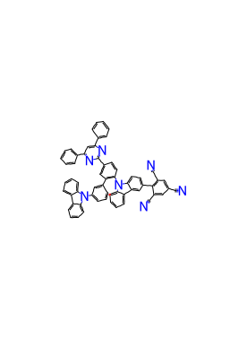 N#Cc1cc(C#N)c(-c2ccc3c(c2)c2ccccc2n3-c2ccc(-c3nc(-c4ccccc4)cc(-c4ccccc4)n3)cc2-c2cccc(-n3c4ccccc4c4ccccc43)c2)c(C#N)c1